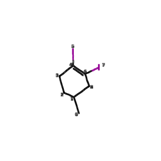 CC1CCC(I)=C(I)C1